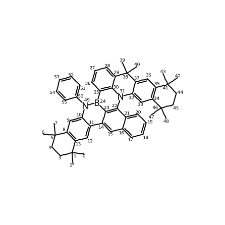 CC1(C)CCC(C)(C)c2cc3c(cc21)-c1cc2ccccc2c2c1B(c1cccc4c1N2c1cc2c(cc1C4(C)C)C(C)(C)CCC2(C)C)N3c1ccccc1